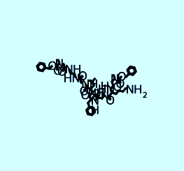 CC(C)CC(NC(=O)C(Cc1ccccc1)NC(=O)CNC(=O)C(CCCCN)NC(=O)CN(C)C(=O)OCc1ccccc1)C(=O)NCC(=O)NCCNC(=O)CN(C)C(=O)OCc1ccccc1